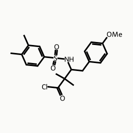 COc1ccc(CC(NS(=O)(=O)c2ccc(C)c(C)c2)C(C)(C)C(=O)Cl)cc1